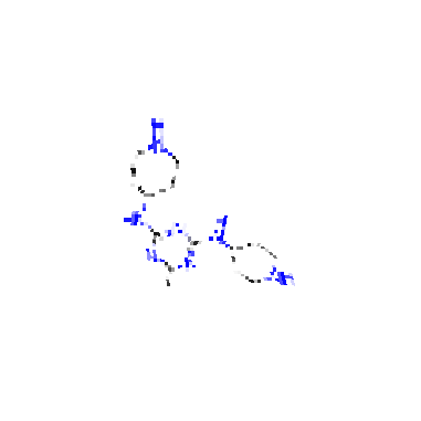 Cc1nc(NC2CCNCC2)nc(NC2CCNCC2)n1